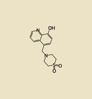 O=S1(=O)CCN(Cc2ccc(O)c3ncccc23)CC1